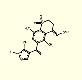 CCn1ncc(C(=O)c2cc(C)c3c(c2C)/C(=N/OC)CCS3(=O)=O)c1O